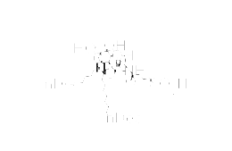 CCCCCCCCCCCCCCCCCC(=O)N(CCCCCCCCCCCCCC)[C@@H]1O[C@H](CO)[C@@H](O)[C@H](O)[C@@H]1NC(=O)CNC(=O)CCCC(=O)O